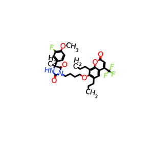 CCCc1cc2c(C(F)(F)F)cc(=O)oc2c(CCC)c1OCCCCN1C(=O)NC(C)(c2ccc(OC)c(F)c2)C1=O